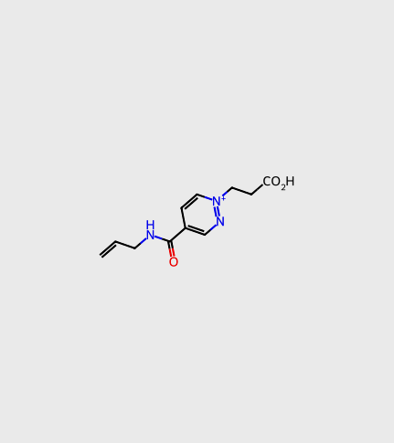 C=CCNC(=O)c1cc[n+](CCC(=O)O)nc1